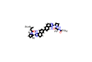 COC(=O)N[C@H](C(=O)N1CCC[C@H]1c1nc2ccc3cc(-c4ccc5c(c4)CCc4nc([C@@H]6[C@H]7CC[C@H](C7)N6C(=O)C[C@@H](C)OC)[nH]c4-5)ccc3c2[nH]1)C(C)C